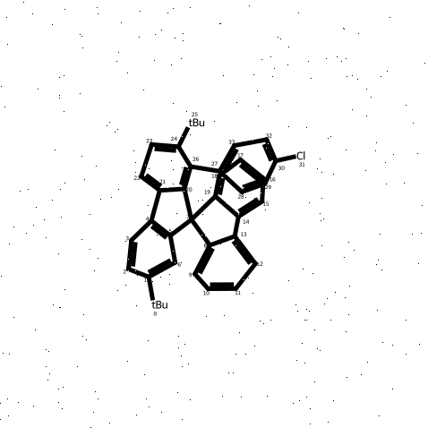 CC(C)(C)c1ccc2c(c1)C1(c3ccccc3-c3ccccc31)c1c-2ccc(C(C)(C)C)c1-c1ccc(Cl)cc1